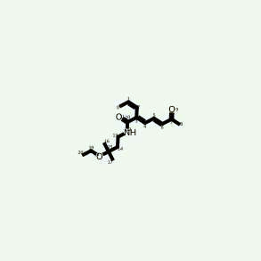 C\C=C/C(=C\C=C\C(C)=O)C(=O)NCCC(C)(C)OCC